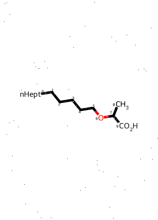 CCCCCCCCCCCCOC(C)C(=O)O